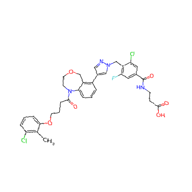 Cc1c(Cl)cccc1OCCCC(=O)N1CCOCc2c(-c3cnn(Cc4c(F)cc(C(=O)NCCC(=O)O)cc4Cl)c3)cccc21